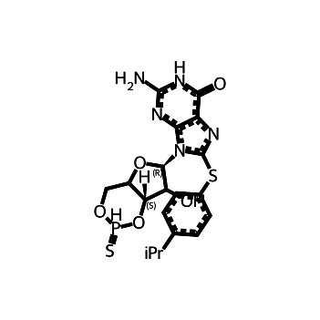 CC(C)c1ccc(Sc2nc3c(=O)[nH]c(N)nc3n2[C@@H]2OC3CO[PH](=S)O[C@H]3C2O)cc1